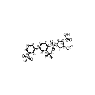 CO[C@H]1C[C@@H](S(=O)(=O)c2ccc(-c3cncc(S(C)(=O)=O)c3)cc2C(F)(F)F)C[C@@H]1C(=O)O